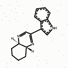 C1=N[C@@H]2CCCC[C@H]2N=C1c1c[nH]c2ccccc12